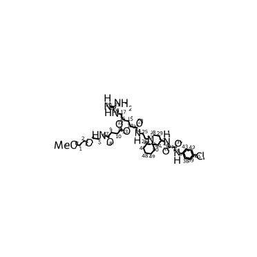 COCCOCCNC(=O)CCC(=O)OC(CCCNC(=N)N)C(=O)NCCN1CCC(NC(=O)C(=O)Nc2ccc(Cl)cc2)CC12CCCCC2